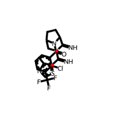 Cc1ncsc1C(=N)N1CC2CCC(C1=N)N2C(=O)c1cccc(C(F)(F)F)c1Cl